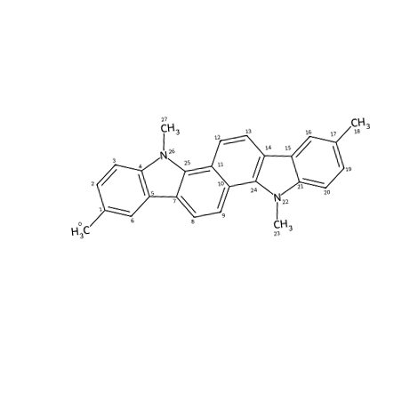 Cc1ccc2c(c1)c1ccc3c(ccc4c5cc(C)ccc5n(C)c43)c1n2C